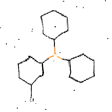 CCC1CCCC(P(C2CCCCC2)C2CCCCC2)C1